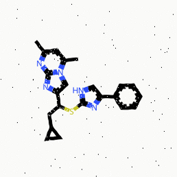 Cc1cc(C)n2cc(C(CC3CC3)Sc3nc(-c4ccccc4)c[nH]3)nc2n1